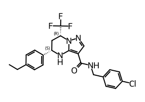 CCc1ccc([C@@H]2C[C@H](C(F)(F)F)n3ncc(C(=O)NCc4ccc(Cl)cc4)c3N2)cc1